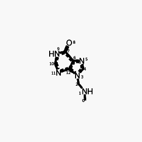 CNCn1cnc2c(=O)[nH]cnc21